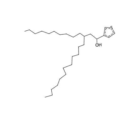 CCCCCCCCCCCCC(CCCCCCCCCC)CC(O)c1ccsc1